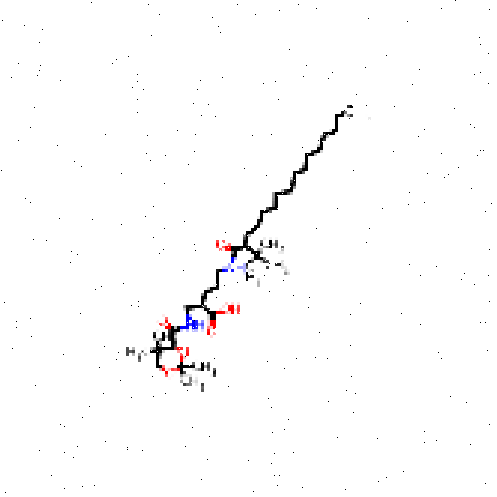 CCCCCCCCCCCCCCC(C(=O)NCCCC(CNC(=O)C1OC(C)(C)OCC1(C)C)C(=O)O)C(C)(C)C